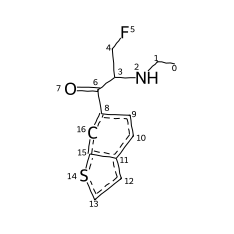 CCNC(CF)C(=O)c1ccc2ccsc2c1